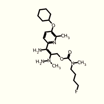 Cc1nc(/C(N)=C(\COC(=O)N(C)CCCCF)N(C)N)ccc1OC1CCCCC1